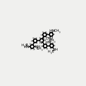 CNc1ccc(NC)c(-c2cccc(-c3cc(-c4cccc(-c5cc(NC)ccc5NC)c4)nc(-c4cccc(-c5cc(NC)ccc5NC)c4)c3)c2)c1